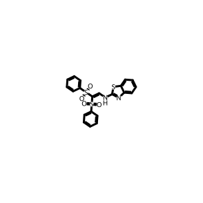 O=S(=O)(C(=CNc1nc2ccccc2s1)S(=O)(=O)c1ccccc1)c1ccccc1